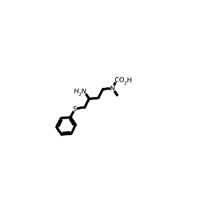 CN(CCC(N)CSc1ccccc1)C(=O)O